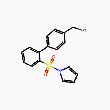 CC(C)Cc1ccc(-c2ccccc2S(=O)(=O)n2cccc2)cc1